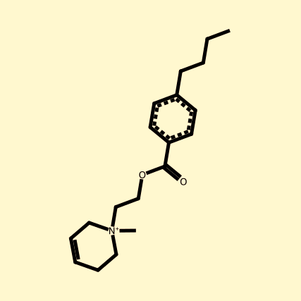 CCCCc1ccc(C(=O)OCC[N+]2(C)CC=CCC2)cc1